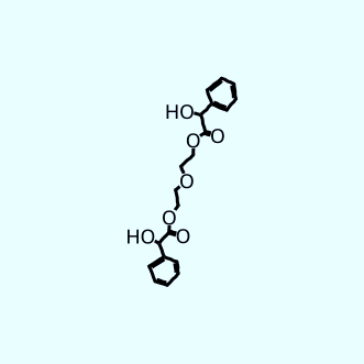 O=C(OCCOCCOC(=O)C(O)c1ccccc1)C(O)c1ccccc1